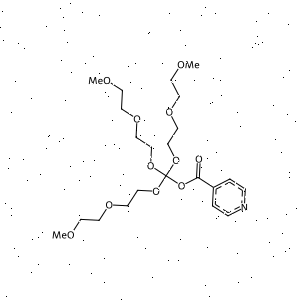 COCCOCCOC(OCCOCCOC)(OCCOCCOC)OC(=O)c1ccncc1